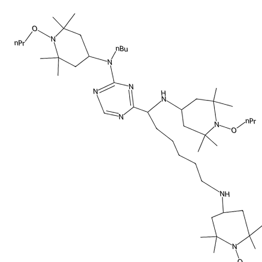 CCCCN(c1ncnc(C(CCCCCNC2CC(C)(C)N(OCCC)C(C)(C)C2)NC2CC(C)(C)N(OCCC)C(C)(C)C2)n1)C1CC(C)(C)N(OCCC)C(C)(C)C1